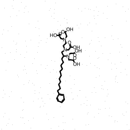 O=C(O)CN(CCN(CC(=O)O)CC(CCCCCCCCCCCc1ccccc1)N(CC(=O)O)CC(=O)O)CC(=O)O